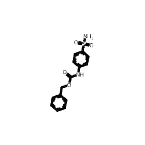 NS(=O)(=O)c1ccc(NC(=O)OCc2ccccc2)cc1